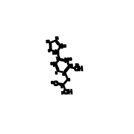 O=C(O)Cc1cnc(-n2cccn2)nc1O